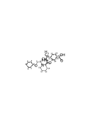 CC(COc1ccccc1)N1CCCC[C@@H]1C(=O)N[C@@H](C)c1ccc(C(=O)O)cc1